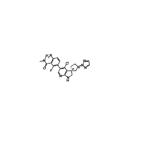 CN(C)C(=O)c1c(N)ccc(-c2cnc3c(c2Cl)[C@]2(CC[C@@H](n4nccn4)C2)CN3)c1F